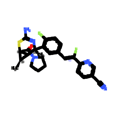 C[C@H]1C2[C@@]1(C(=O)N1CCCC1)SC(N)=N[C@]2(C)c1cc(/C=C(\F)c2ccc(C#N)cn2)ccc1F